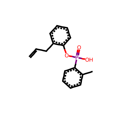 C=CCc1ccccc1OP(=O)(O)c1ccccc1C